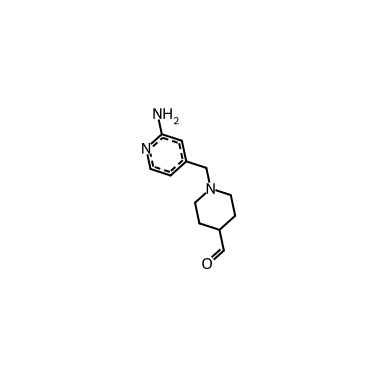 Nc1cc(CN2CCC(C=O)CC2)ccn1